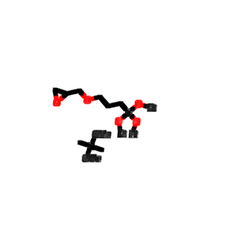 CCO[Si](CCCOCC1CO1)(OCC)OCC.CO[Si](C)(C)OC